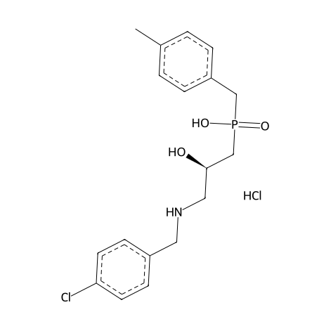 Cc1ccc(CP(=O)(O)C[C@H](O)CNCc2ccc(Cl)cc2)cc1.Cl